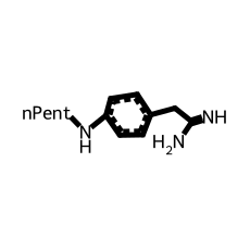 CCCCCNc1ccc(CC(=N)N)cc1